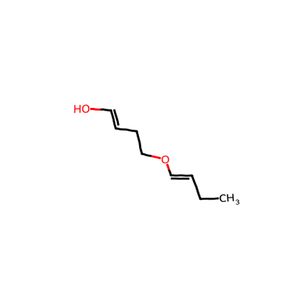 CCC=COCCC=CO